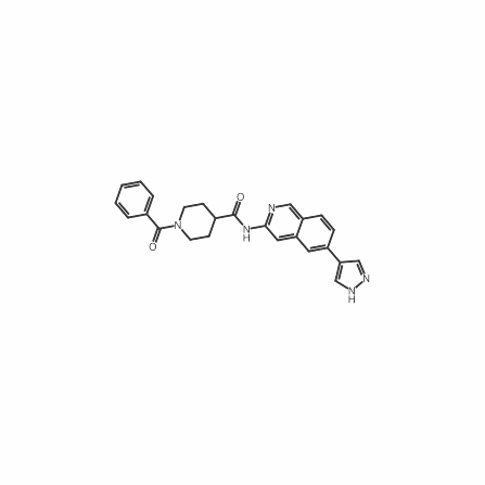 O=C(Nc1cc2cc(-c3cn[nH]c3)ccc2cn1)C1CCN(C(=O)c2ccccc2)CC1